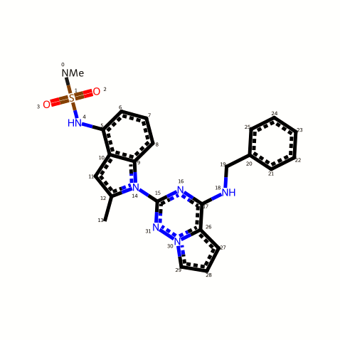 CNS(=O)(=O)Nc1cccc2c1cc(C)n2-c1nc(NCc2ccccc2)c2cccn2n1